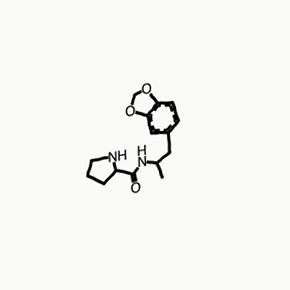 CC(Cc1ccc2c(c1)OCO2)NC(=O)C1CCCN1